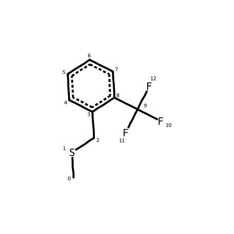 CSCc1ccccc1C(F)(F)F